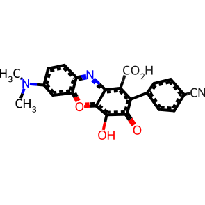 CN(C)c1ccc2nc3c(C(=O)O)c(-c4ccc(C#N)cc4)c(=O)c(O)c-3oc2c1